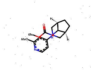 COc1cc(N2C[C@H]3CC[C@@H](C2)C3NC(=O)OC(C)(C)C)ccn1